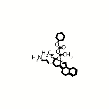 C=C=C(OC(C)OC(=O)OC1CCCCC1)[C@@H](CCCN)CC1=C2CCC3=CC=CCC3C2C=N1